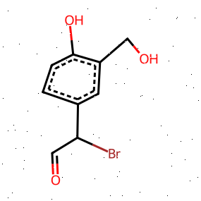 O=CC(Br)c1ccc(O)c(CO)c1